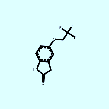 O=C1Cc2cc(OCC(F)(F)F)ccc2N1